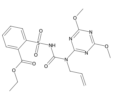 C=CCN(C(=O)NS(=O)(=O)c1ccccc1C(=O)OCC)c1nc(OC)nc(OC)n1